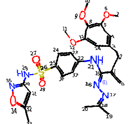 C=C(Cc1cc(OC)c(OC)c(OC)c1)/C(=N\N=C(C)C)Nc1ccc(S(=O)(=O)Nc2cc(C)on2)cc1